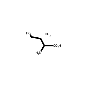 NC(CCO)C(=O)O.P